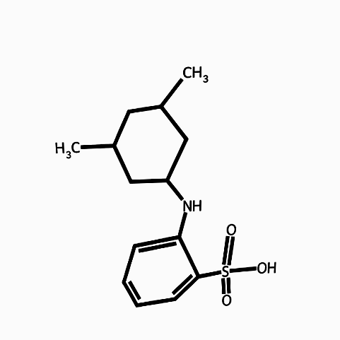 CC1CC(C)CC(Nc2ccccc2S(=O)(=O)O)C1